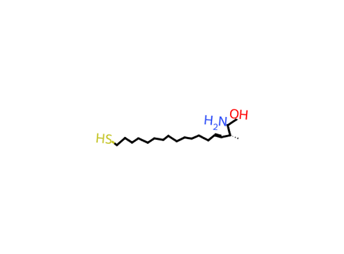 C[C@H](/C=C/CCCCCCCCCCCCCS)[C@@H](N)CO